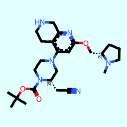 CN1CCC[C@H]1COc1cc(N2CCN(C(=O)OC(C)(C)C)[C@@H](CC#N)C2)c2c(n1)CNCC2